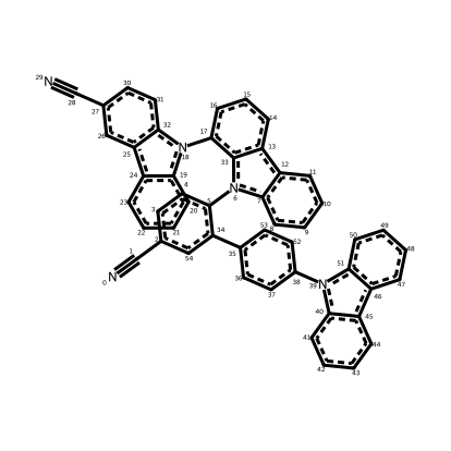 N#Cc1ccc(-n2c3ccccc3c3cccc(-n4c5ccccc5c5cc(C#N)ccc54)c32)c(-c2ccc(-n3c4ccccc4c4ccccc43)cc2)c1